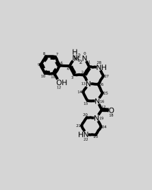 NC1=C(/C=C(\N)c2ccccc2O)N2CCN(C(=O)N3CCNCC3)CC2CN1